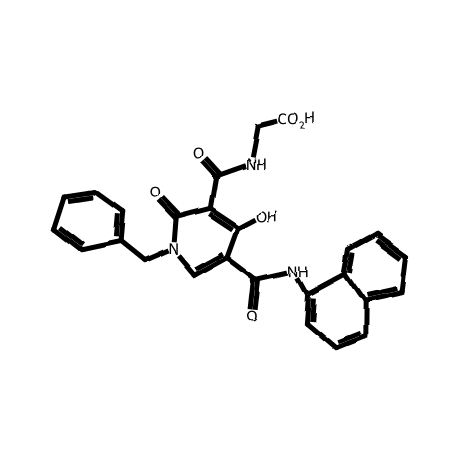 O=C(O)CNC(=O)c1c(O)c(C(=O)Nc2cccc3ccccc23)cn(Cc2ccccc2)c1=O